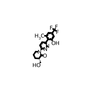 Cc1cc(C(F)(F)F)cc(O)c1-c1ccc(N2CCC[C@@H](CO)C2=O)nn1